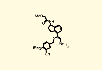 C=N/C=C(\SCc1ccc(OC(C)C)c(C#N)c1)c1cccc2c1CCC2NC(=O)COC